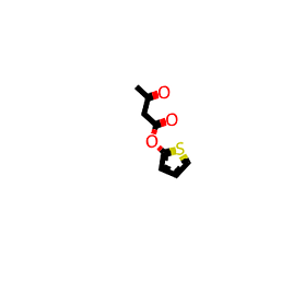 CC(=O)CC(=O)Oc1cccs1